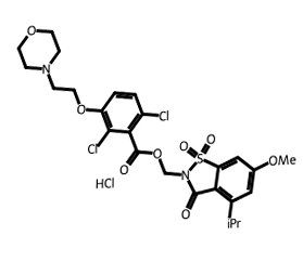 COc1cc(C(C)C)c2c(c1)S(=O)(=O)N(COC(=O)c1c(Cl)ccc(OCCN3CCOCC3)c1Cl)C2=O.Cl